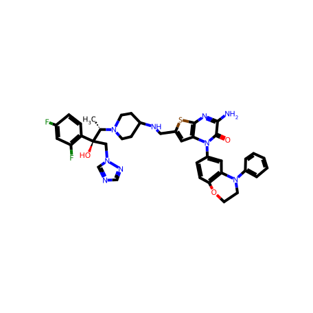 C[C@H](N1CCC(NCc2cc3c(nc(N)c(=O)n3-c3ccc4c(c3)N(c3ccccc3)CCO4)s2)CC1)[C@](O)(Cn1cncn1)c1ccc(F)cc1F